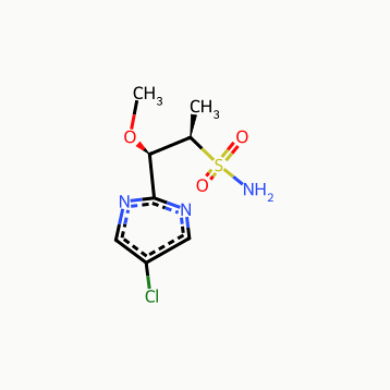 CO[C@H](c1ncc(Cl)cn1)[C@@H](C)S(N)(=O)=O